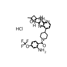 CC12CC(N)(C1)[C@H](c1nc3c(C4CCN(C(=O)c5ccc(OC(F)(F)F)cc5N)CC4)ccnc3[nH]1)O2.Cl